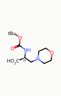 CC(C)(C)OC(=O)N[C@@H](CN1CCOCC1)C(=O)O